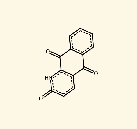 O=C1c2ccccc2C(=O)c2[nH]c(=O)ccc21